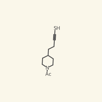 CC(=O)N1CCC(CCC#CS)CC1